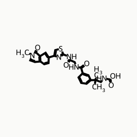 Cn1ccc2ccc(-c3csc(NC(=O)CNC(=O)c4cccc(C(C)(C)CNC(=O)O)c4)n3)cc2c1=O